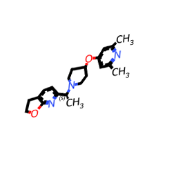 Cc1cc(OC2CCN([C@@H](C)c3ccc4c(n3)OCC4)CC2)cc(C)n1